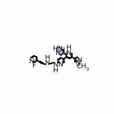 C/N=C\C(C=N)=C1\NC=C(c2cnn(C)c2)C=C1c1ccc(NCCNCC#Cc2cccnc2F)nc1